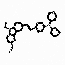 CCn1c2ccc(C=O)cc2c2cc(C=Cc3ccc(N(c4ccccc4)c4ccccc4)cc3)ccc21